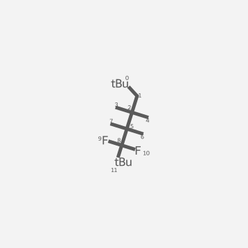 CC(C)(C)CC(C)(C)C(C)(C)C(F)(F)C(C)(C)C